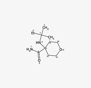 CCC(C)(C)NC1(C(N)=O)CCOCC1